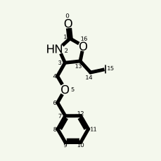 O=C1NC(COCc2ccccc2)C(CI)O1